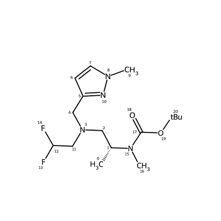 C[C@H](CN(Cc1ccn(C)n1)CC(F)F)N(C)C(=O)OC(C)(C)C